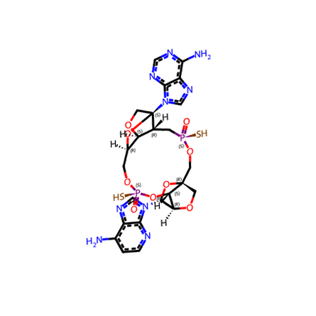 Nc1ccnc2c1ncn2[C@@H]1O[C@@]23CO[C@@H]1[C@@H]2O[P@@](=O)(S)OC[C@H]1O[C@]2(n4cnc5c(N)ncnc54)CO[C@H]1[C@H]2C[P@@](=O)(S)OC3